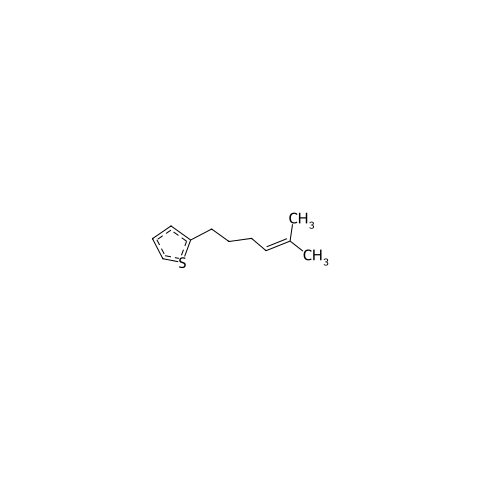 CC(C)=CCCCc1cccs1